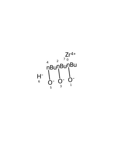 CCCC[O-].CCCC[O-].CCCC[O-].[H-].[Zr+4]